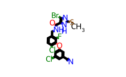 CSc1nc(Br)c(C(=O)NCc2ccc(Cl)c(Oc3cc(Cl)cc(C#N)c3)c2F)[nH]1